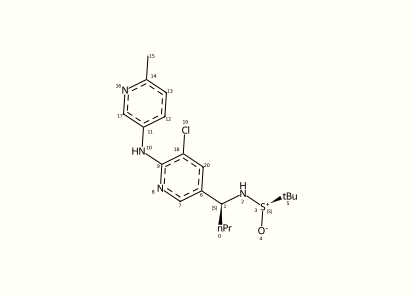 CCC[C@H](N[S@+]([O-])C(C)(C)C)c1cnc(Nc2ccc(C)nc2)c(Cl)c1